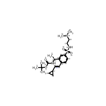 C[C@H](NC(=O)OC(C)(C)C)c1cc(S(=O)(=O)NCCN(C)C)ccc1/C=C/C1CC1